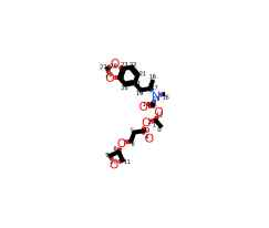 CC(OC(=O)CCOC1COC1)OC(=O)N(C)C(C)Cc1ccc2c(c1)OCO2